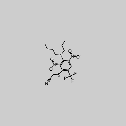 CCCCN(CCC)c1c([N+](=O)[O-])cc(C(F)(F)F)c(SCC#N)c1[N+](=O)[O-]